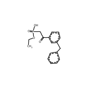 CCOP(=O)(O)CC(=O)c1cccc(Cc2ccccc2)c1